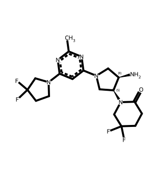 Cc1nc(N2C[C@@H](N)[C@@H](N3CC(F)(F)CCC3=O)C2)cc(N2CCC(F)(F)C2)n1